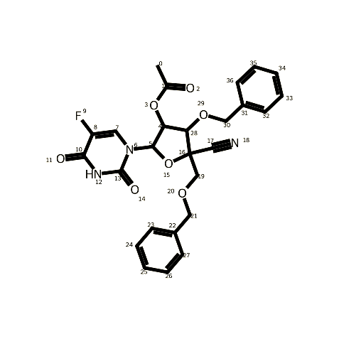 CC(=O)OC1C(n2cc(F)c(=O)[nH]c2=O)OC(C#N)(COCc2ccccc2)C1OCc1ccccc1